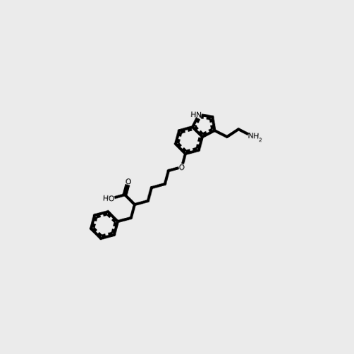 NCCc1c[nH]c2ccc(OCCCCC(Cc3ccccc3)C(=O)O)cc12